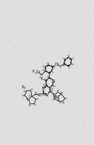 Fc1c(-c2cc(OCc3ccccc3)ccc2CC(F)(F)F)ncc2c(N3CC4CCC(C3)N4)nc(OC[C@@]34CCCN3C[C@H](F)C4)nc12